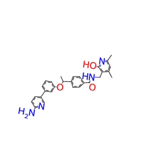 Cc1cc(C)c(CNC(=O)c2ccc(C(C)Oc3cccc(-c4ccc(N)nc4)c3)cc2)c(O)n1